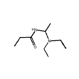 CCC(=O)NC(C)N(CC)CC